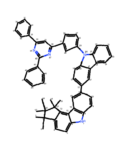 CC1(C)c2ccc3[nH]c4ccc(-c5ccc6c(c5)c5ccccc5n6-c5cccc(-c6cc(-c7ccccc7)nc(-c7ccccc7)n6)c5)cc4c3c2C(C)(C)C1(C)C